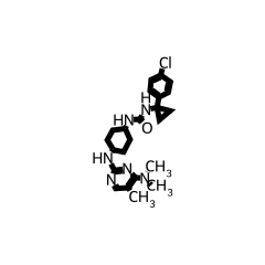 Cc1cnc(NC2CCC(NC(=O)NC3(c4ccc(Cl)cc4)CC3)CC2)nc1N(C)C